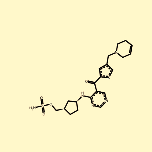 NS(=O)(=O)OC[C@@H]1CC[C@H](Nc2ncncc2C(=O)c2cc(CN3CC=CCC3)cs2)C1